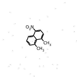 Cc1cccc2c([N+](=O)[O-])ccc(C)c12